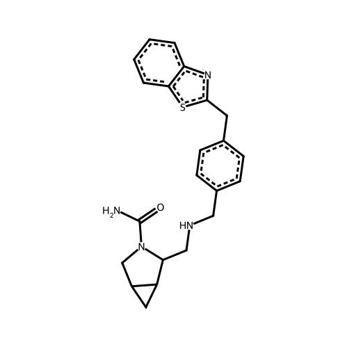 NC(=O)N1CC2CC2C1CNCc1ccc(Cc2nc3ccccc3s2)cc1